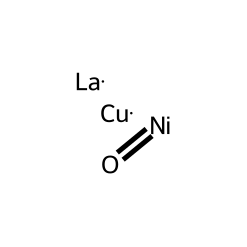 [Cu].[La].[O]=[Ni]